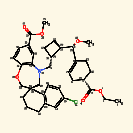 CCOC(=O)[C@@H]1CC=C([C@@H](OC)[C@@H]2CC[C@H]2CN2C[C@@]3(CCCc4cc(Cl)ccc43)COc3ccc(C(=O)OC)cc32)CC1